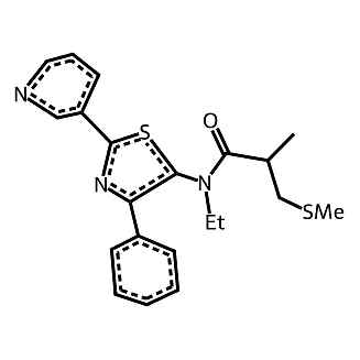 CCN(C(=O)C(C)CSC)c1sc(-c2cccnc2)nc1-c1ccccc1